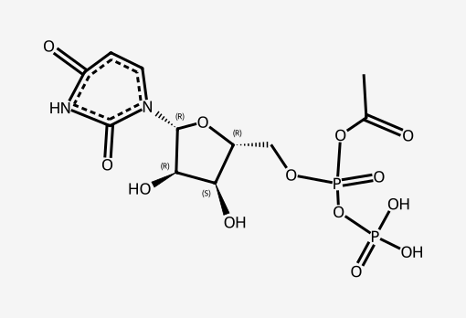 CC(=O)OP(=O)(OC[C@H]1O[C@@H](n2ccc(=O)[nH]c2=O)[C@H](O)[C@@H]1O)OP(=O)(O)O